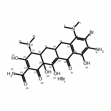 Br.CN(C)c1c(Br)c(N)c(O)c2c1CC1CC3[C@H](N(C)C)C(O)=C(C(N)=O)C(=O)C3(O)C(O)=C1C2=O